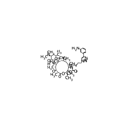 CC[C@H]1OC(=O)[C@H](C)C(=O)[C@H](C)[C@@H](O[C@@H]2O[C@H](C)CC(N(C)C)C2O)[C@](C)(OC)CC(C)C[C@H](C)[C@H]2N(CCCCn3cc(-c4cccc(N)c4)nn3)C(=O)O[C@]12C